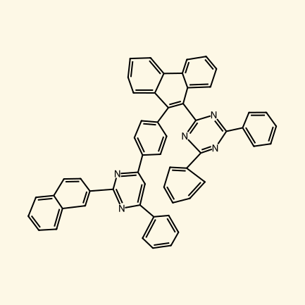 c1ccc(-c2cc(-c3ccc(-c4c(-c5nc(-c6ccccc6)nc(-c6ccccc6)n5)c5ccccc5c5ccccc45)cc3)nc(-c3ccc4ccccc4c3)n2)cc1